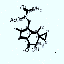 CC(=O)ON(CC1=C(C)C=C2C(=O)[C@](C)(O)C3(CC3)C(C)=C21)C(N)=O